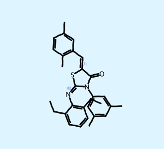 CCc1cccc(CC)c1/N=C1/S/C(=C\c2cc(C)ccc2C)C(=O)N1c1cc(C)cc(C)c1